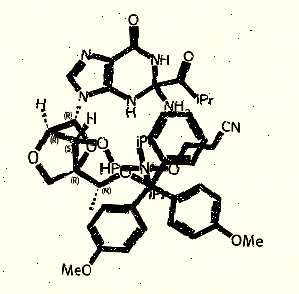 COc1ccc(C(O[C@H](C)[C@@]23CO[C@@H]([C@H](n4cnc5c4NC(N)(C(=O)C(C)C)NC5=O)O2)[C@@H]3OP[N+](OCCC#N)(C(C)C)C(C)C)(c2ccccc2)c2ccc(OC)cc2)cc1